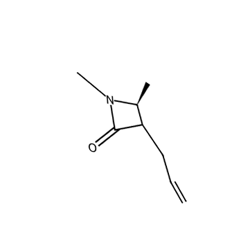 C=CCC1C(=O)N(C)[C@H]1C